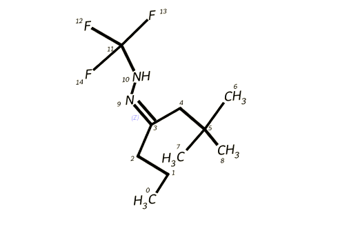 CCC/C(CC(C)(C)C)=N/NC(F)(F)F